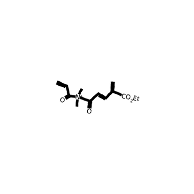 C=CC(=O)[N+](C)(C)C(=O)C=CC(=C)C(=O)OCC